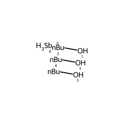 CCCCO.CCCCO.CCCCO.[SbH3]